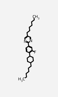 CCCCCCCc1cnc(-c2ccc(C3CCC(CCCCCC)CC3)c(F)c2)nc1